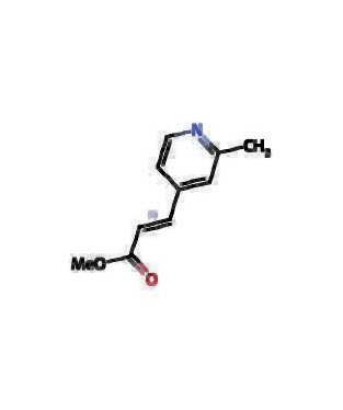 COC(=O)/C=C/c1ccnc(C)c1